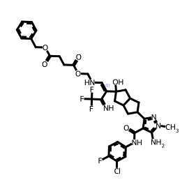 Cn1nc(C2CC3CC(O)(/C(=C/NCOC(=O)CCC(=O)OCc4ccccc4)C(=N)C(F)(F)F)CC3C2)c(C(=O)Nc2ccc(F)c(Cl)c2)c1N